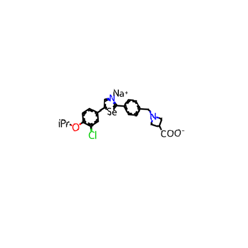 CC(C)Oc1ccc(-c2cnc(-c3ccc(CN4CC(C(=O)[O-])C4)cc3)[se]2)cc1Cl.[Na+]